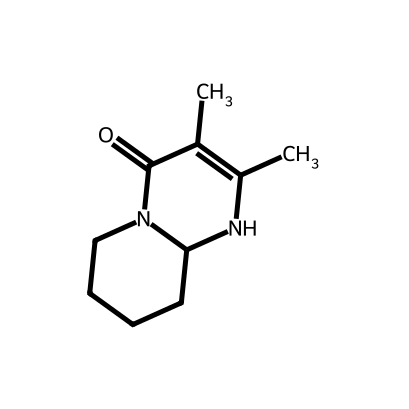 CC1=C(C)C(=O)N2CCCCC2N1